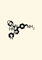 NCc1ccc(C2=C3CCN(c4cccnc4)C3NC(N3CCOCC3)=N2)cc1